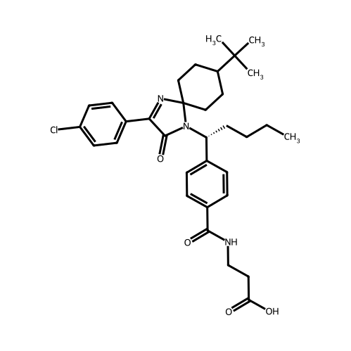 CCCC[C@H](c1ccc(C(=O)NCCC(=O)O)cc1)N1C(=O)C(c2ccc(Cl)cc2)=NC12CCC(C(C)(C)C)CC2